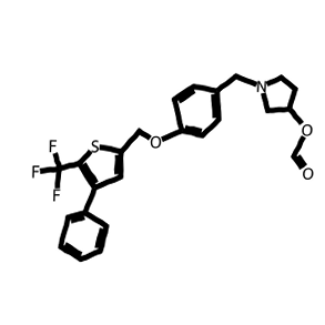 O=COC1CCN(Cc2ccc(OCc3cc(-c4ccccc4)c(C(F)(F)F)s3)cc2)C1